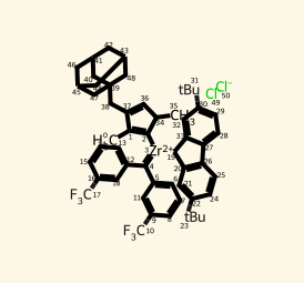 CC1=[C]([Zr+2](=[C](c2cccc(C(F)(F)F)c2)c2cccc(C(F)(F)F)c2)[CH]2c3cc(C(C)(C)C)ccc3-c3ccc(C(C)(C)C)cc32)C(C)C=C1CC12CC3CC(CC(C3)C1)C2.[Cl-].[Cl-]